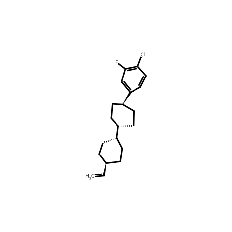 C=C[C@H]1CC[C@H]([C@H]2CC[C@H](c3ccc(Cl)c(F)c3)CC2)CC1